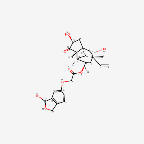 C=C[C@]1(C)C[C@@H](OC(=O)COc2ccc3c(c2)B(O)OC3)[C@]2(C)[C@H](C)CC[C@]3(C[C@H](O)C(=O)[C@H]32)C[C@@H]1O